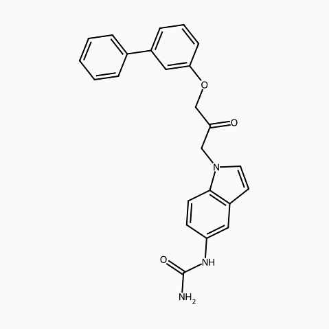 NC(=O)Nc1ccc2c(ccn2CC(=O)COc2cccc(-c3ccccc3)c2)c1